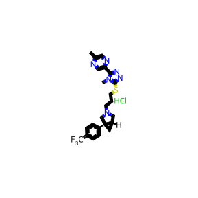 Cc1cnc(-c2nnc(SCCCN3C[C@@H]4C[C@]4(c4ccc(C(F)(F)F)cc4)C3)n2C)cn1.Cl